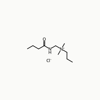 CCCC(=O)NC[N+](C)(C)CCC.[Cl-]